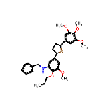 CCCOc1c(NCc2ccccc2)cc(C2CCC(c3cc(OC)c(OC)c(OC)c3)S2)cc1OC